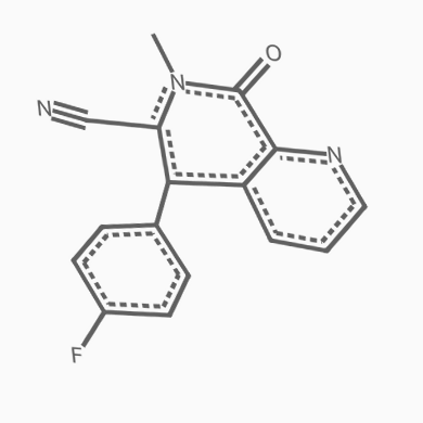 Cn1c(C#N)c(-c2ccc(F)cc2)c2cccnc2c1=O